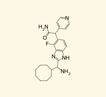 NC(=O)C(c1ccncc1)c1ccc2[nH]c(C(N)C3CCCCCCC3)nc2c1F